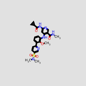 CNC(=O)c1cnc(NC(=O)C2CC2)cc1Nc1cccc(-c2ccc(S(=O)(=O)N(C)C)cn2)c1OC